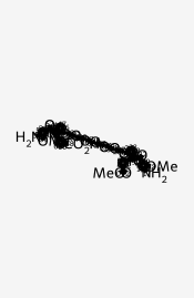 COC(=O)c1cccc(-c2nc(C(=O)c3ccc(N)c(OC)c3)n3cccc(OCCOCCOCCOCCOCCOCCOc4cccn5c(C(=O)c6ccc(N)c(OC)c6)nc(-c6cccc(C(=O)O)c6)c45)c23)c1